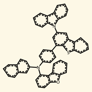 c1ccc2cc(N(c3ccc(-c4cc(-n5c6ccccc6c6ccccc65)cc5c4sc4ccccc45)cc3)c3cccc4oc5ccccc5c34)ccc2c1